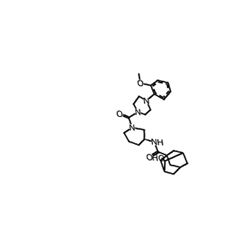 COc1ccccc1N1CCN(C(=O)N2CCC[C@H](NC(=O)C34CC5CC(C3)C(O)C(C5)C4)C2)CC1